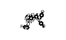 COc1ccc(CN(Cc2ccc(OC)cc2)c2cc(C)cc(-c3c(Cl)c4c5c(nc(OC[C@@]67CCCN6C[C@H](F)C7)nc5c3F)N(C)CCO4)n2)cc1